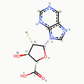 O=C(O)[C@H]1O[C@@H](n2cnc3cncnc32)[C@@H](F)[C@@H]1O